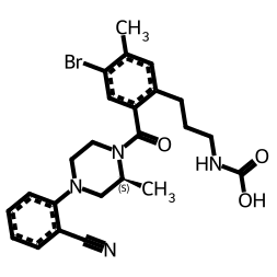 Cc1cc(CCCNC(=O)O)c(C(=O)N2CCN(c3ccccc3C#N)C[C@@H]2C)cc1Br